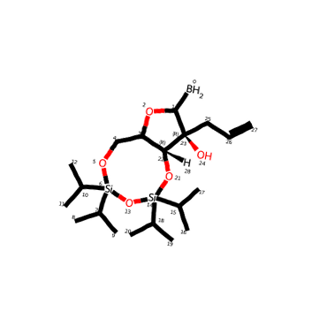 BC1OC2CO[Si](C(C)C)(C(C)C)O[Si](C(C)C)(C(C)C)O[C@H]2[C@@]1(O)CC=C